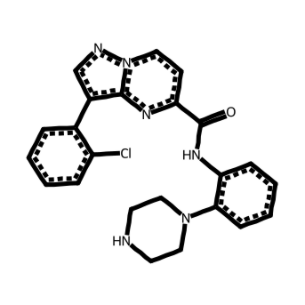 O=C(Nc1ccccc1N1CCNCC1)c1ccn2ncc(-c3ccccc3Cl)c2n1